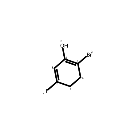 OC1=C(Br)CCC(I)=C1